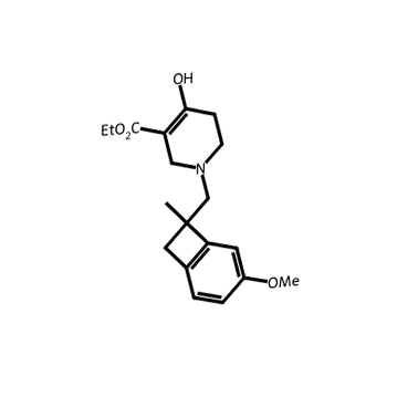 CCOC(=O)C1=C(O)CCN(CC2(C)Cc3ccc(OC)cc32)C1